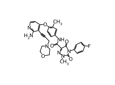 Cc1cc(NC(=O)c2nn(C)c(=O)n(-c3ccc(F)cc3)c2=O)ccc1Oc1ccnc(N)c1C#CCN1CCOCC1